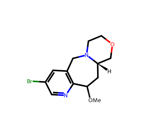 COC1C[C@H]2COCCN2Cc2cc(Br)cnc21